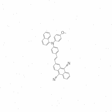 COc1ccc(N(c2ccc(C=Cc3ccc4c(C#N)c5ccccc5c(C#N)c4c3)cc2)c2cccc3ccccc23)cc1